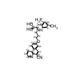 Cc1ccc(C[C@H](NCCCOc2cccc(C=C(C#N)c3ccccn3)c2)B(O)O)c(C)c1